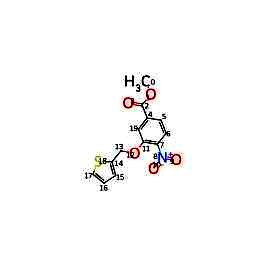 COC(=O)c1ccc([N+](=O)[O-])c(OCc2cccs2)c1